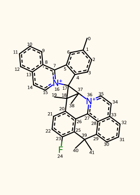 Cc1ccc2c(c1)-c1c3ccccc3cc[n+]1C21C2(C)c3ccc(F)c4c3-c3c5c(cccc5cc[n+]3C21C)C4(C)C